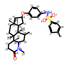 Cc1ccc(S(=O)(=O)Nc2ccc(OC3C[C@H]4[C@@H]5C(C)CC6N(C)C(=O)CC[C@]6(C)[C@@H]5CC[C@]4(C)C3)cc2)cc1